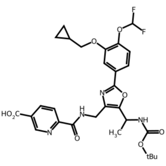 CC(NC(=O)OC(C)(C)C)c1oc(-c2ccc(OC(F)F)c(OCC3CC3)c2)nc1CNC(=O)c1ccc(C(=O)O)cn1